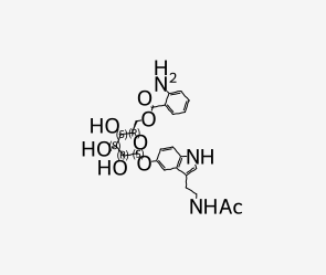 CC(=O)NCCc1c[nH]c2ccc(O[C@@H]3O[C@H](COC(=O)c4ccccc4N)[C@@H](O)[C@H](O)[C@H]3O)cc12